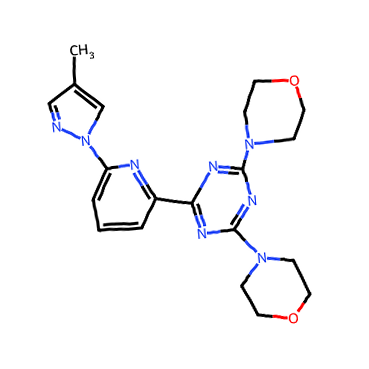 Cc1cnn(-c2cccc(-c3nc(N4CCOCC4)nc(N4CCOCC4)n3)n2)c1